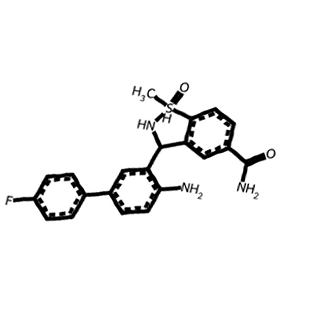 C[SH]1(=O)NC(c2cc(-c3ccc(F)cc3)ccc2N)c2cc(C(N)=O)ccc21